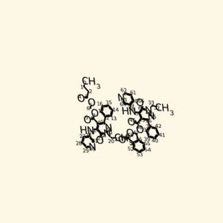 CCCC(=O)OCOC(=O)c1c(-c2ccccc2)nn(CC)c(=O)c1Nc1cccnc1.CCn1nc(-c2ccccc2)c(C(=O)OC2OC(=O)c3ccccc32)c(Nc2cccnc2)c1=O